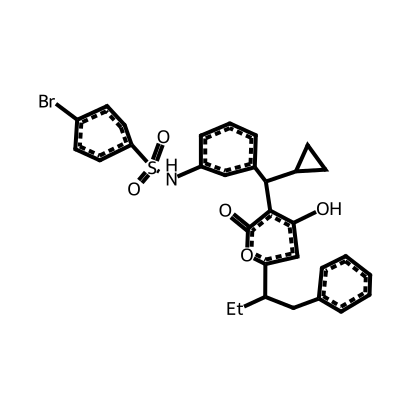 CCC(Cc1ccccc1)c1cc(O)c(C(c2cccc(NS(=O)(=O)c3ccc(Br)cc3)c2)C2CC2)c(=O)o1